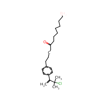 BCCCCCCCC(=O)CCCCc1ccc(C(=C)C(C)(C)Cl)cc1